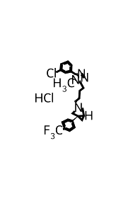 Cl.Cn1c(CCCCN2C[C@@H]3C[C@]3(c3ccc(C(F)(F)F)cc3)C2)nnc1-c1cccc(Cl)c1